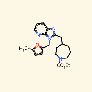 CCOC(=O)N1CCCC(Cc2nc3cccnc3n2Cc2ccc(C)o2)CC1